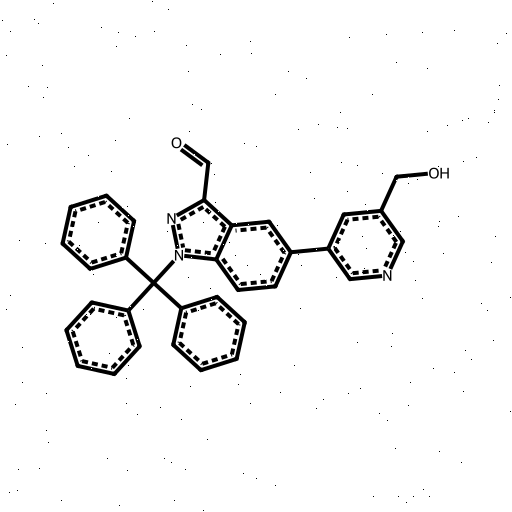 O=Cc1nn(C(c2ccccc2)(c2ccccc2)c2ccccc2)c2ccc(-c3cncc(CO)c3)cc12